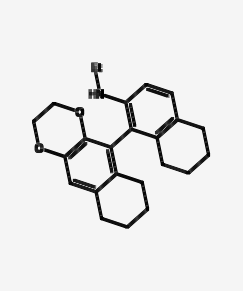 CCNc1ccc2c(c1-c1c3c(cc4c1OCCO4)CCCC3)CCCC2